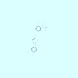 O=C1CCc2c(OCC3=CCN(c4cc(F)c(Cl)cc4F)CC3)ccc(F)c2N1